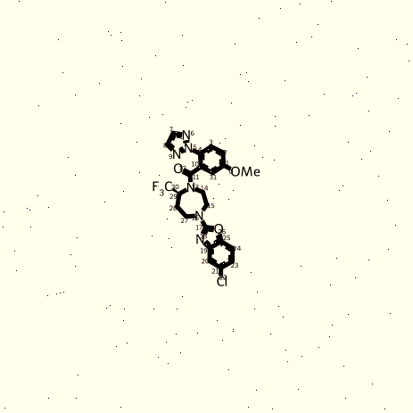 COc1ccc(-n2nccn2)c(C(=O)N2CCN(c3nc4cc(Cl)ccc4o3)CC[C@H]2C(F)(F)F)c1